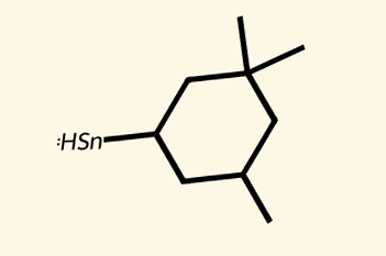 CC1C[CH]([SnH])CC(C)(C)C1